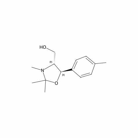 Cc1ccc([C@H]2OC(C)(C)N(C)[C@@H]2CO)cc1